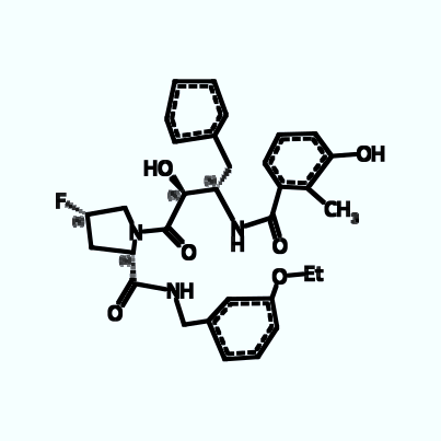 CCOc1cccc(CNC(=O)[C@@H]2C[C@H](F)CN2C(=O)[C@@H](O)[C@H](Cc2ccccc2)NC(=O)c2cccc(O)c2C)c1